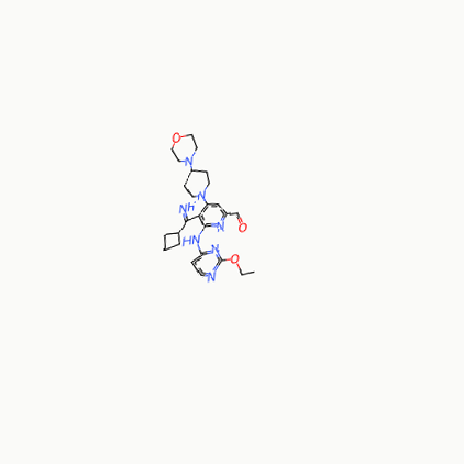 CCOc1nccc(Nc2nc(C=O)cc(N3CCC(N4CCOCC4)CC3)c2C(=N)C2CCC2)n1